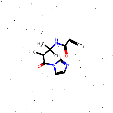 C=CC(=O)NC(C)(C)C(C)C(=O)n1ccnc1